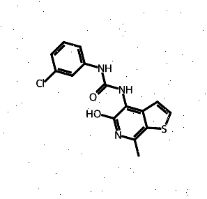 Cc1nc(O)c(NC(=O)Nc2cccc(Cl)c2)c2ccsc12